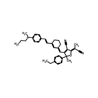 CCCN(C)c1ccc(/C=C/C2=CC(=C/C3=C(C#N)C(=C(\C)C#N)/OC3(C)c3ccc(CC)cc3)/CCC2)cc1